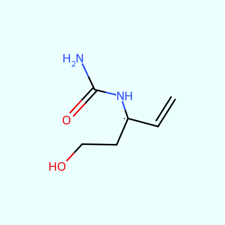 C=C[C](CCO)NC(N)=O